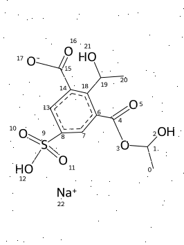 CC(O)OC(=O)c1cc(S(=O)(=O)O)cc(C(=O)[O-])c1C(C)O.[Na+]